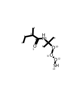 CCC(C)C(=O)NC(C)(C)OOOS